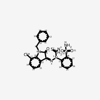 NC(=S)N(/N=C1\C(=O)N(Cc2ccccc2)c2c(Cl)cccc21)c1ccccc1S(N)(=O)=O